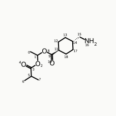 CC(OC(=O)C(C)C)OC(=O)[C@H]1CC[C@H](CN)CC1